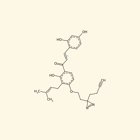 C#CCCC1(CCOc2ccc(C(=O)/C=C/c3ccc(O)cc3O)c(O)c2CC=C(C)C)N=N1